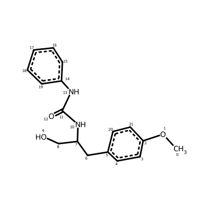 COc1ccc(CC(CO)NC(=O)Nc2ccccc2)cc1